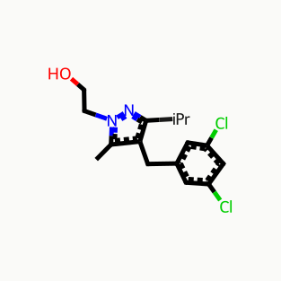 Cc1c(Cc2cc(Cl)cc(Cl)c2)c(C(C)C)nn1CCO